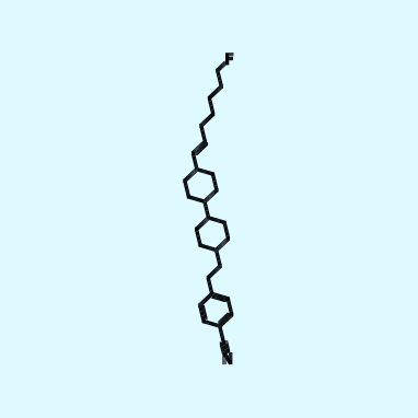 N#Cc1ccc(CCC2CCC(C3CCC(C=CCCCCCF)CC3)CC2)cc1